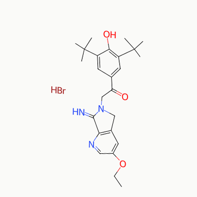 Br.CCOc1cnc2c(c1)CN(CC(=O)c1cc(C(C)(C)C)c(O)c(C(C)(C)C)c1)C2=N